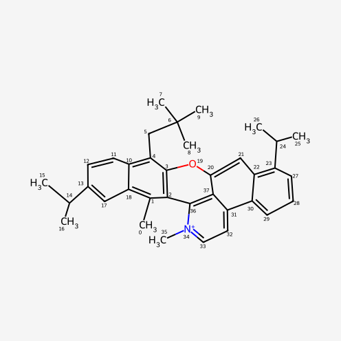 Cc1c2c(c(CC(C)(C)C)c3ccc(C(C)C)cc13)Oc1cc3c(C(C)C)cccc3c3cc[n+](C)c-2c13